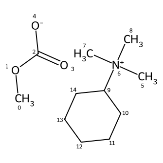 COC(=O)[O-].C[N+](C)(C)C1CCCCC1